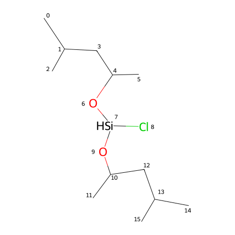 CC(C)CC(C)O[SiH](Cl)OC(C)CC(C)C